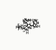 C[C@H](Nc1cc(-c2nnnn2N)cc(-c2c[nH]c3ncncc23)n1)C(=O)NCC(F)(F)F